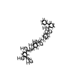 CC1(OC(=O)Nc2ccccc2-c2ccccc2)CCN(CCC(=O)Nc2ccc(CNC[C@@H](O)c3ccc(O)c(NC=O)c3)cc2)CC1